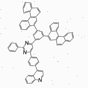 c1ccc(-c2nc(-c3ccc(-c4ccnc5ccccc45)cc3)cc(-c3cc(-c4cc5ccc6ccccc6c5c5ccccc45)cc(-c4cc5ccc6ccccc6c5c5ccccc45)c3)n2)cc1